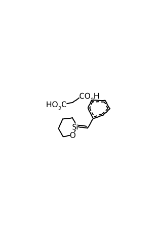 C(c1ccccc1)=[Si]1CCCCO1.O=C(O)CC(=O)O